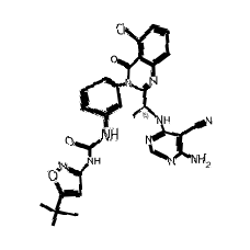 C[C@H](Nc1ncnc(N)c1C#N)c1nc2cccc(Cl)c2c(=O)n1-c1cccc(NC(=O)Nc2cc(C(C)(C)C)on2)c1